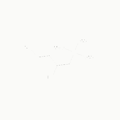 CO[Si](CC(C)CSC#N)(OC)OC